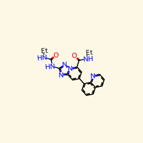 CCNC(=O)Nc1nc2cc(-c3cccc4cccnc34)cc(C(=O)NCC)n2n1